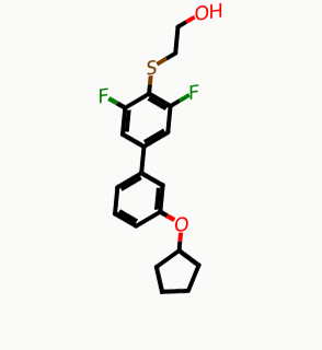 OCCSc1c(F)cc(-c2cccc(OC3CCCC3)c2)cc1F